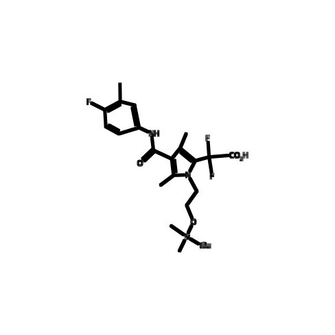 Cc1cc(NC(=O)c2c(C)c(C(F)(F)C(=O)O)n(CCO[Si](C)(C)C(C)(C)C)c2C)ccc1F